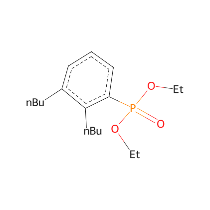 CCCCc1cccc(P(=O)(OCC)OCC)c1CCCC